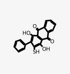 O=C1c2ccccc2C(=O)c2c(O)c(-c3ccccc3)c(S)c(O)c21